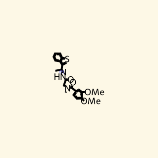 COc1ccc(C(=O)N(C)CC(=O)N/N=C(\C)c2csc3ccccc23)cc1OC